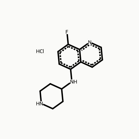 Cl.Fc1ccc(NC2CCNCC2)c2cccnc12